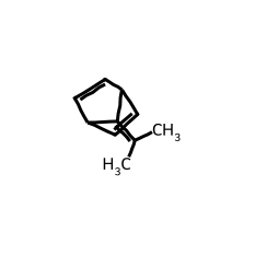 CC(C)=C1C2C=CC1C=C2